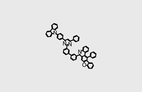 c1ccc(-c2cc(-c3ccc(-n4c5ccccc5c5ccccc54)cc3)nc(-c3cccc(-c4cccc(-c5nc6ccccc6c6c(-c7ccccc7)c7c(cc56)oc5ccccc57)c4)c3)n2)cc1